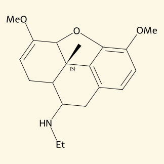 CCNC1Cc2ccc(OC)c3c2[C@@]2(C)C(O3)C(OC)=CCC12